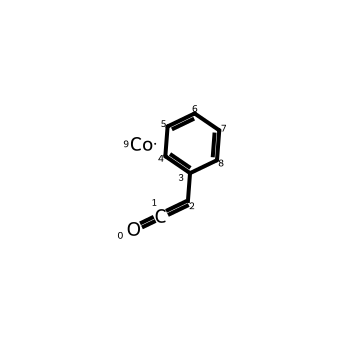 O=C=Cc1ccccc1.[Co]